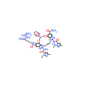 CCn1nc(C)cc1C(=O)Nc1nc2cc(C(N)=O)cc3c2n1C/C=C/Cn1c(NC(=O)c2cc(C)nn2CC)nc2cc(C(=O)NCCCC(=N)NNN)cc(c21)OCC(N1CC2CCC(C1)O2)CO3